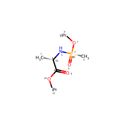 CCCO[P@@](C)(=O)N[C@@H](C)C(=O)OC(C)C